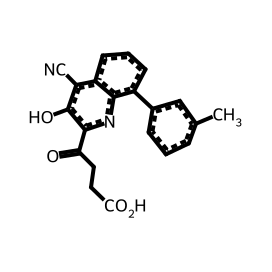 Cc1cccc(-c2cccc3c(C#N)c(O)c(C(=O)CCC(=O)O)nc23)c1